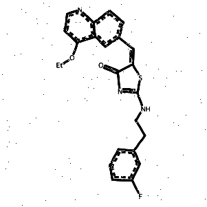 CCOc1ccnc2ccc(C=C3SC(NCCc4cccc(F)c4)=NC3=O)cc12